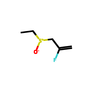 C=C(F)C[S+]([O-])CC